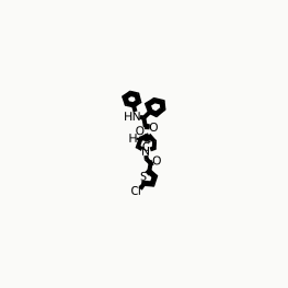 O=C(C[N+]12CCC(CC1)[C@@H](OC(=O)C(Nc1ccccc1)c1ccccc1)C2)c1ccc(Cl)s1